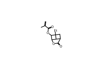 C=C(C)C(=O)OC1C2OC(=O)C3CC1(CC)C32